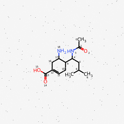 CC(=O)NC(CC(C)C)C1CC=C(C(=O)O)CC1N